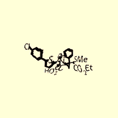 CCOC(=O)C(SC)[C@@]1(c2ccccc2)CC1(NS(=O)(=O)c1ccc(-c2ccc(Cl)cc2)s1)C(=O)O